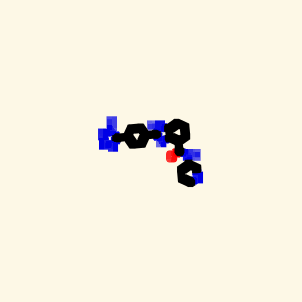 O=C(Nc1cccnc1)c1cccc2[nH]c(-c3ccc(-c4nnn[nH]4)cc3)nc12